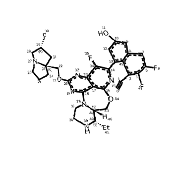 C#Cc1c(F)c(F)cc2cc(O)cc(-c3nc4c5c(nc(OC[C@@]67CCCN6C[C@H](F)C7)nc5c3F)N3CCN[C@@H](CC)[C@H]3CO4)c12